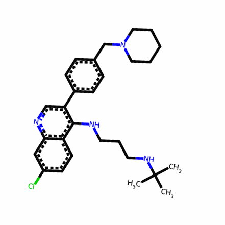 CC(C)(C)NCCCNc1c(-c2ccc(CN3CCCCC3)cc2)cnc2cc(Cl)ccc12